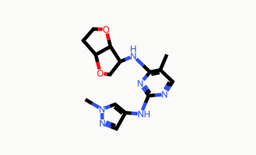 Cc1cnc(Nc2cnn(C)c2)nc1NC1COC2CCOC12